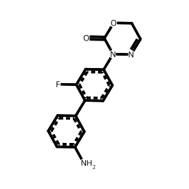 Nc1cccc(-c2ccc(N3N=CCOC3=O)cc2F)c1